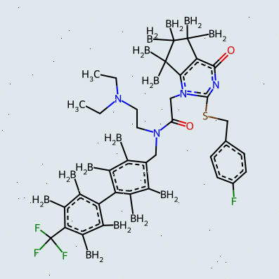 Bc1c(B)c(-c2c(B)c(B)c(C(F)(F)F)c(B)c2B)c(B)c(B)c1CN(CCN(CC)CC)C(=O)Cn1c(SCc2ccc(F)cc2)nc(=O)c2c1C(B)(B)C(B)(B)C2(B)B